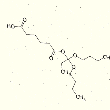 CCCCOC(CC)(OCCCC)OC(=O)CCCCC(=O)O